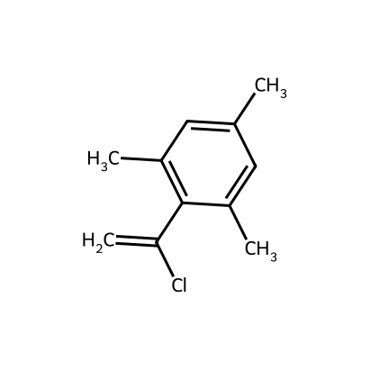 C=C(Cl)c1c(C)cc(C)cc1C